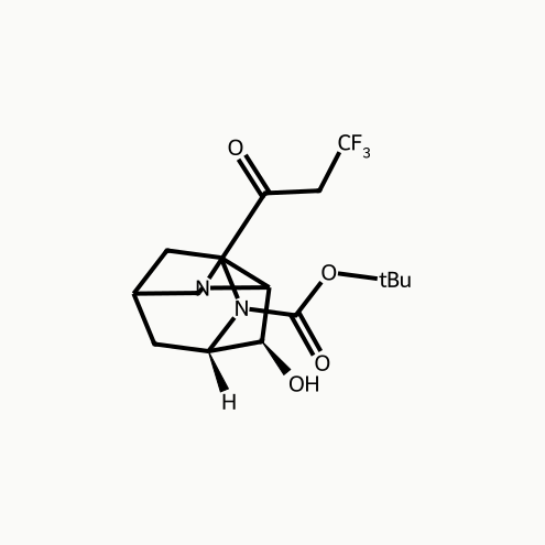 CC(C)(C)OC(=O)N1C2CC3C[C@H]1[C@H](O)C2N(C(=O)CC(F)(F)F)C3